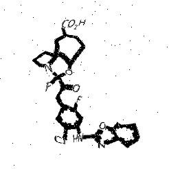 O=C(O)C1CCC(OC(F)(C(=O)Cc2cc(Cl)c(Nc3nc4ccccc4o3)cc2F)N2CCCC2)CC1